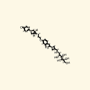 O=C(Cc1ccc(OCCC[C@@H]2[C@H]3CN(c4ncc(Cl)cn4)C[C@@H]23)cc1F)N1CC(CNC[C@H](O)[C@@H](O)[C@H](O)[C@H](O)CO)C1